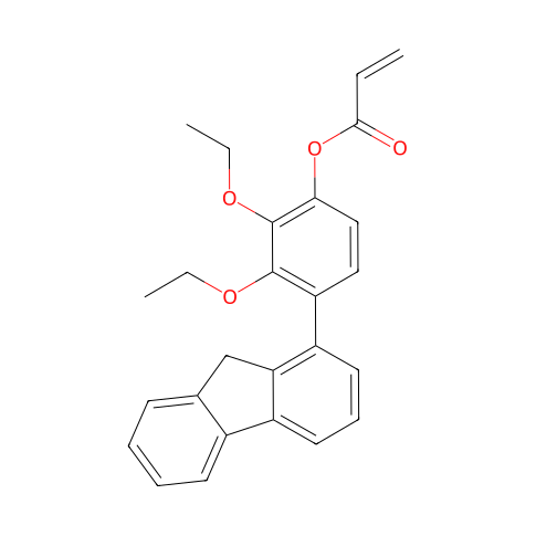 C=CC(=O)Oc1ccc(-c2cccc3c2Cc2ccccc2-3)c(OCC)c1OCC